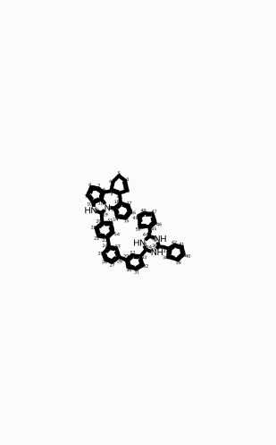 C1=CC2=C(CC1)c1cccc3c1N(c1ccccc12)C(c1ccc(-c2cccc(-c4cccc(C5NC(c6ccccc6)NC(c6ccccc6)N5)c4)c2)cc1)N3